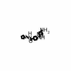 Nc1cnc(Nc2ccc(C(=O)NCCN3CCCC3)cc2)nc1